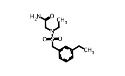 CCc1cccc(CS(=O)(=O)N(CC)CC(N)=O)c1